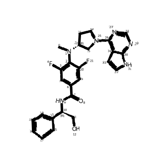 CN(c1c(F)cc(C(=O)N[C@@H](CO)c2ccccc2)cc1F)[C@@H]1CCN(c2ncnc3[nH]ccc23)C1